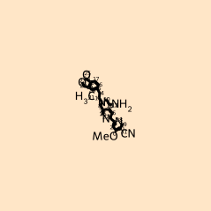 COc1cc(-c2ccc(CN(CCN)CCc3ccc4c(c3C)COC4=O)cn2)ncc1C#N